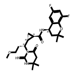 COCC[C@H]([C@@H]1C[C@H]1C(=O)N[C@@H]1CC(C)(C)Oc2c(F)cc(F)cc21)N1C(=N)NC(C)(C)CC1=O